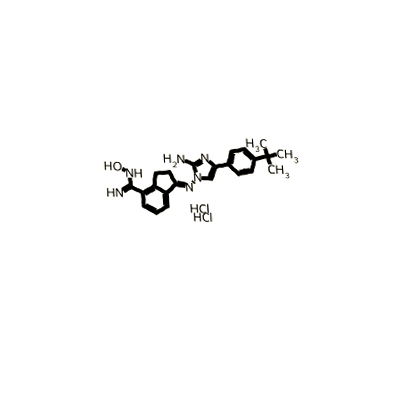 CC(C)(C)c1ccc(-c2cn(/N=C3\CCc4c(C(=N)NO)cccc43)c(N)n2)cc1.Cl.Cl